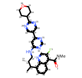 CNC(=O)c1c(F)cnc2c(C(C)[C@H](C)CNc3cc(-c4cnc(C5CCOCC5)nc4)ncn3)cccc12